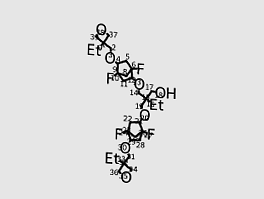 CCC1(COC2CC3(F)CC2(F)CC3OCC(CC)(CO)COC2CC3(F)CC2(F)CC3OCC2(CC)COC2)COC1